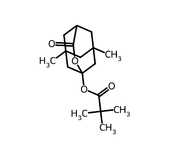 CC12CC3CC(C)(C1)CC(OC(=O)C(C)(C)C)(C2)OC3=O